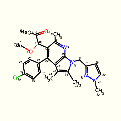 COC(=O)[C@@H](OC(C)(C)C)c1c(C)nc2c(c(C)c(C)n2Cc2ccn(C)n2)c1-c1ccc(Cl)cc1